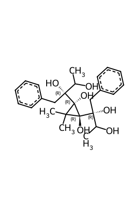 CC(O)[C@](O)(Cc1ccccc1)[C@]1(O)C(C)(C)[C@@]1(O)[C@@](O)(Cc1ccccc1)C(C)O